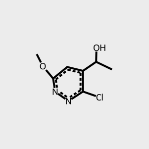 COc1cc(C(C)O)c(Cl)nn1